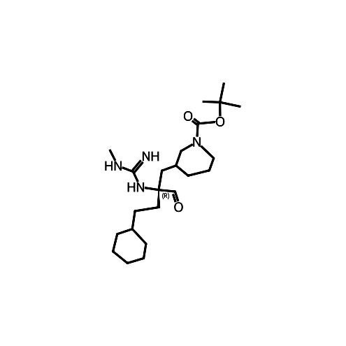 CNC(=N)N[C@](C=O)(CCC1CCCCC1)CC1CCCN(C(=O)OC(C)(C)C)C1